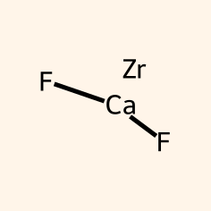 [F][Ca][F].[Zr]